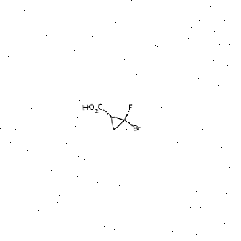 O=C(O)C1CC1(F)Br